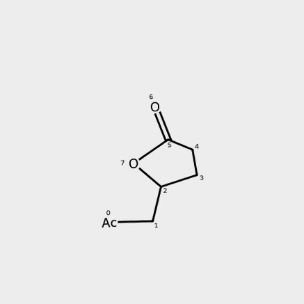 CC(=O)CC1CCC(=O)O1